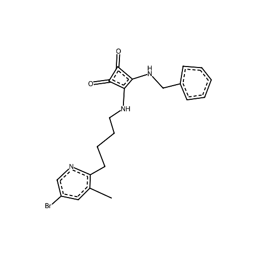 Cc1cc(Br)cnc1CCCCNc1c(NCc2ccccc2)c(=O)c1=O